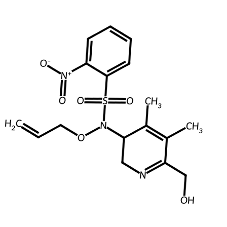 C=CCON(C1CN=C(CO)C(C)=C1C)S(=O)(=O)c1ccccc1[N+](=O)[O-]